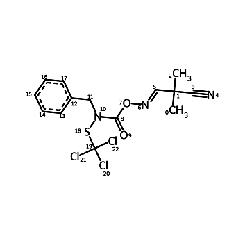 CC(C)(C#N)C=NOC(=O)N(Cc1ccccc1)SC(Cl)(Cl)Cl